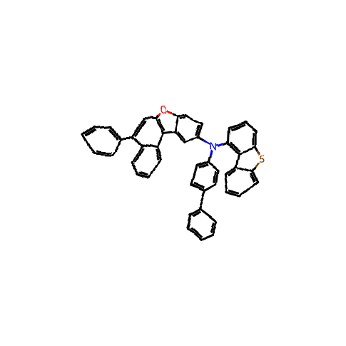 c1ccc(-c2ccc(N(c3ccc4oc5cc(-c6ccccc6)c6ccccc6c5c4c3)c3cccc4sc5ccccc5c34)cc2)cc1